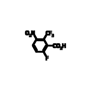 O=C(O)c1c(F)ccc([N+](=O)[O-])c1C(F)(F)F